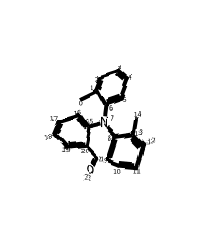 Cc1ccccc1N(c1ccccc1C)c1ccccc1C=O